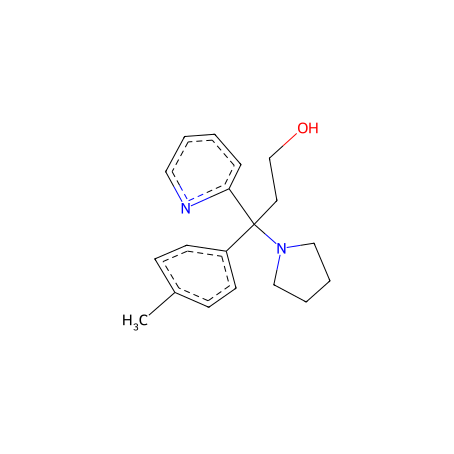 Cc1ccc(C(CCO)(c2ccccn2)N2CCCC2)cc1